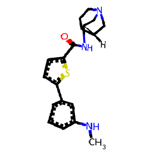 CNc1cccc(-c2ccc(C(=O)N[C@H]3CN4CCC3CC4)s2)c1